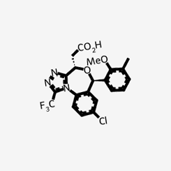 COc1c(C)cccc1[C@@H]1O[C@@H](CC(=O)O)c2nnc(C(F)(F)F)n2-c2ccc(Cl)cc21